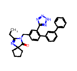 CCC1=NC2(CCCC2)C(=O)N1Cc1ccc(-c2cccc(-c3ccccc3)c2)c(-c2nn[nH]n2)c1